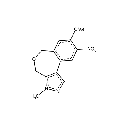 COc1cc2c(cc1[N+](=O)[O-])-c1cnn(C)c1COC2